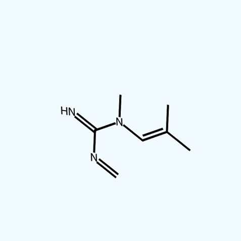 C=NC(=N)N(C)C=C(C)C